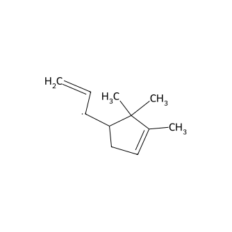 C=C[CH]C1CC=C(C)C1(C)C